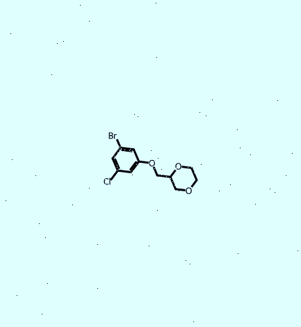 Clc1cc(Br)cc(OCC2COCCO2)c1